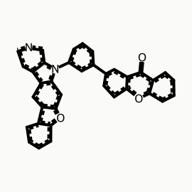 O=c1c2ccccc2oc2ccc(-c3cccc(-n4c5cnccc5c5cc6c(cc54)oc4ccccc46)c3)cc12